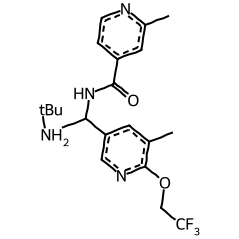 CC(C)(C)N.Cc1cc(C(=O)NC(C)c2cnc(OCC(F)(F)F)c(C)c2)ccn1